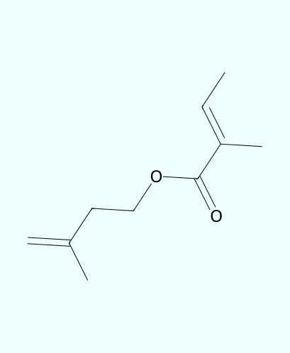 C=C(C)CCOC(=O)C(C)=CC